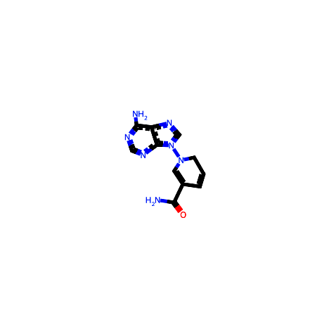 NC(=O)C1=CN(n2cnc3c(N)ncnc32)CC=C1